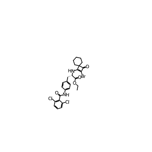 CCOC(=O)[C@H](Cc1ccc(NC(=O)c2c(Cl)cccc2Cl)cc1)NC1=C(Br)C(=O)C12CCCCC2